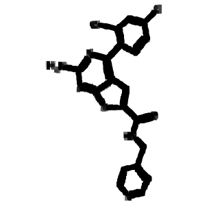 Nc1nc(-c2ccc(Cl)cc2Cl)c2cc(C(=O)NCc3ccncc3)sc2n1